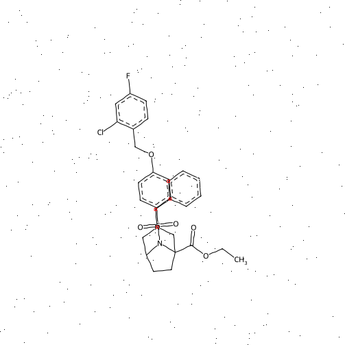 CCOC(=O)C12CCC(CN(Cc3ccccc3)C1)N2S(=O)(=O)c1ccc(OCc2ccc(F)cc2Cl)cc1